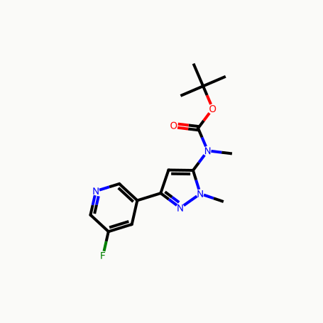 CN(C(=O)OC(C)(C)C)c1cc(-c2cncc(F)c2)nn1C